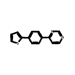 c1csc(-c2ccc(-c3ccncn3)cc2)c1